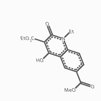 CCOC(=O)c1c(O)c2cc(C(=O)OC)ccc2n(CC)c1=O